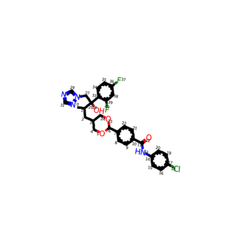 CC(CC1COC(c2ccc(C(=O)Nc3ccc(Cl)cc3)cc2)OC1)C(O)(Cn1cncn1)c1ccc(F)cc1F